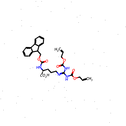 C=CCOC(=O)NC(=NCCC[C@H](NC(=O)OCC1c2ccccc2-c2ccccc21)C(=O)O)NC(=O)OCC=C